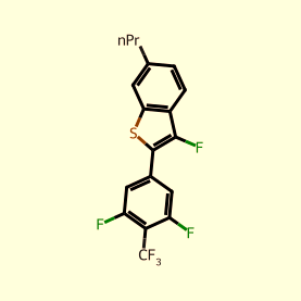 CCCc1ccc2c(F)c(-c3cc(F)c(C(F)(F)F)c(F)c3)sc2c1